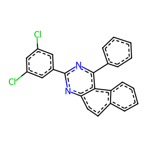 Clc1cc(Cl)cc(-c2nc(-c3ccccc3)c3c(ccc4ccccc43)n2)c1